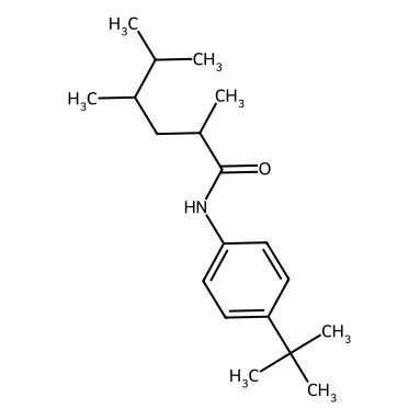 CC(CC(C)C(C)C)C(=O)Nc1ccc(C(C)(C)C)cc1